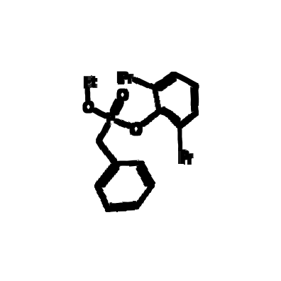 CCOP(=O)(Cc1ccccc1)Oc1c(C(C)C)cccc1C(C)C